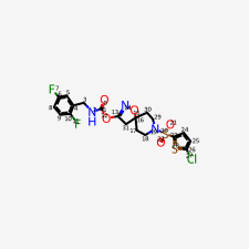 O=C(NCc1cc(F)ccc1F)OC1=NOC2(CCN(S(=O)(=O)c3ccc(Cl)s3)CC2)C1